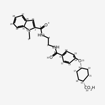 Cn1c(C(=O)NCCNC(=O)c2ccc(O[C@H]3CC[C@@H](C(=O)O)CC3)cc2)cc2ccccc21